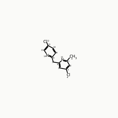 Cc1cc(Cl)cc(Cc2ccc(Cl)cn2)n1